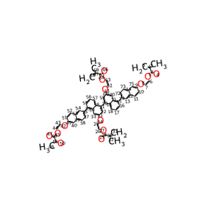 C=C(C)C(=O)O/C=C\Oc1ccc2cc(-c3cccc4c(-c5cc(O/C=C\OC(=O)C(=C)C)cc6c(-c7ccc8cc(O/C=C\OC(=O)C(C)=O)ccc8c7)cccc56)cc(O/C=C\OC(=O)C(=C)C)cc34)ccc2c1